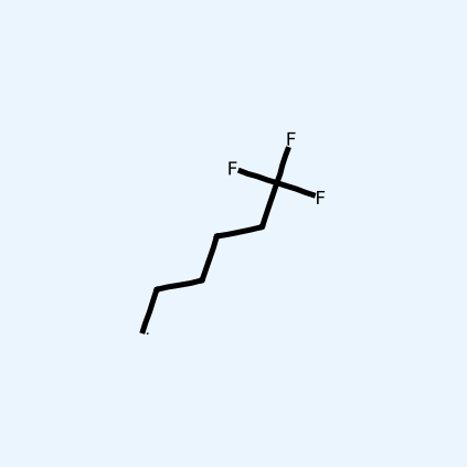 [CH2]CCCCC(F)(F)F